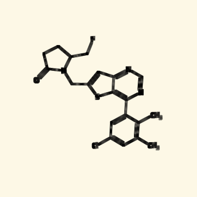 Cc1cc(Cl)cc(-c2ncnc3cc(CN4C(=O)CCC4CF)sc23)c1C